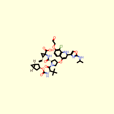 C=C[C@@H]1CC1(NC(=O)[C@@H]1C[C@@H](OC2=CC(c3coc(NC(C)C)n3)Nc3c2ccc(OCC=O)c3Cl)CN1C(=O)[C@@H](NC(=O)O[C@@H]1C[C@@H]2C[C@@H]2C1)C(C)(C)C)C(=O)O